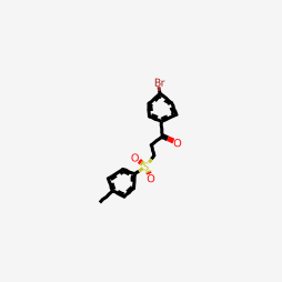 Cc1ccc(S(=O)(=O)CCC(=O)c2ccc(Br)cc2)cc1